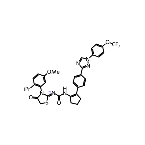 COc1ccc(C(C)C)c(N2C(=O)CS/C2=N\C(=O)NC2=C(c3ccc(-c4ncn(-c5ccc(OC(F)(F)F)cc5)n4)cc3)CCC2)c1